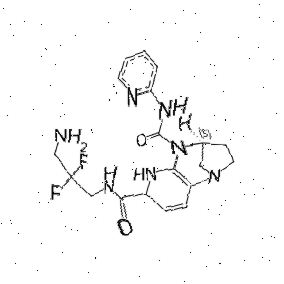 NCC(F)(F)CNC(=O)C1C=CC2=C(N1)N(C(=O)Nc1ccccn1)[C@H]1CCN2C1